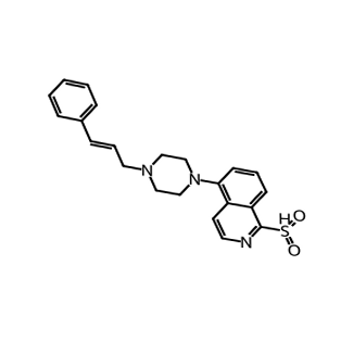 O=[SH](=O)c1nccc2c(N3CCN(C/C=C/c4ccccc4)CC3)cccc12